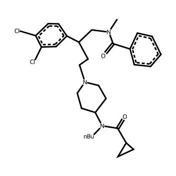 CCCCN(C(=O)C1CC1)C1CCN(CCC(CN(C)C(=O)c2ccccc2)c2ccc(Cl)c(Cl)c2)CC1